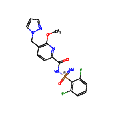 COc1nc(C(=O)N[S@@](=N)(=O)c2c(F)cccc2F)ccc1Cn1cccn1